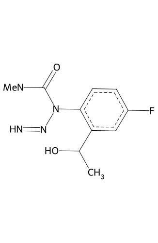 CNC(=O)N(N=N)c1ccc(F)cc1C(C)O